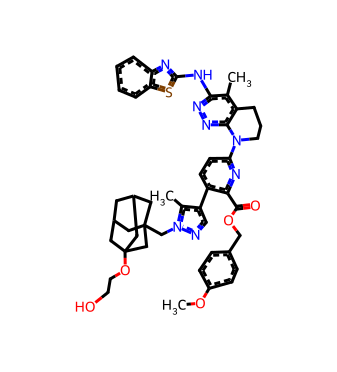 COc1ccc(COC(=O)c2nc(N3CCCc4c3nnc(Nc3nc5ccccc5s3)c4C)ccc2-c2cnn(CC34CC5CC(C3)CC(OCCO)(C5)C4)c2C)cc1